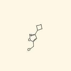 ClCc1cc(C2CCC2)no1